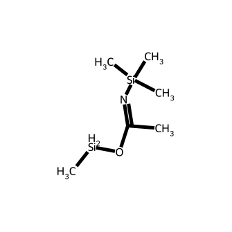 C[SiH2]OC(C)=N[Si](C)(C)C